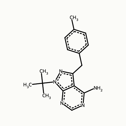 Cc1ccc(Cc2nn(C(C)(C)C)c3ncnc(N)c23)cc1